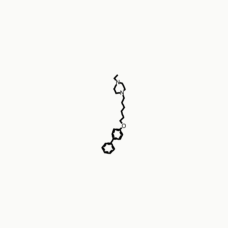 CCN1CCN(CCCCCCOc2ccc(-c3ccccc3)cc2)CC1